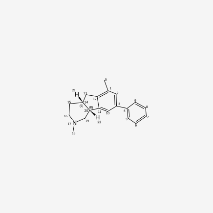 Cc1cc(-c2ccccc2)cc2c1C[C@H]1CCN(C)C[C@@H]21